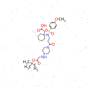 COc1ccc(S(=O)(=O)N(CCC(=O)N2CCC(NCC(=O)OC(C)(C)C)CC2)C2(CC(=O)O)CCCCC2)cc1